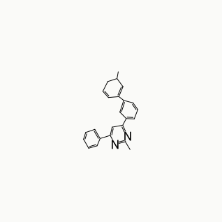 Cc1nc(-c2ccccc2)cc(-c2cccc(C3=CC(C)CC=C3)c2)n1